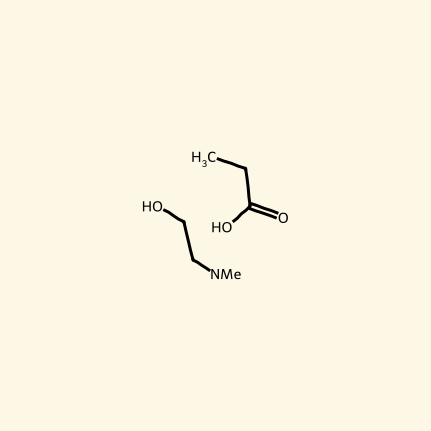 CCC(=O)O.CNCCO